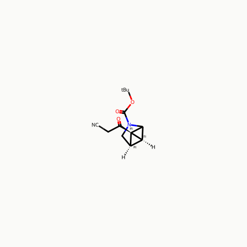 CC(C)(C)OC(=O)N1C[C@@H]2[C@@H]3C1[C@@]23C(=O)CC#N